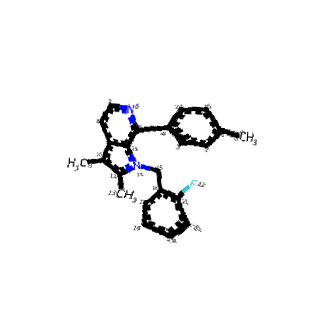 Cc1ccc(-c2nccc3c(C)c(C)n(Cc4ccccc4F)c23)cc1